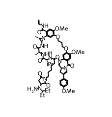 C=CNC(=O)c1cc(OC)c(OCCCOc2cc3c(cc2OC)C(=O)N2C=C(c4ccc(OC)cc4)CC2C=N3)cc1N1C(NC(=O)[C@H](C)NC(=O)[C@@H](NC(=O)CCCCCN2C(=O)CC(N(N)C(CC)CC)C2=O)C(C)C)[C@H]1C